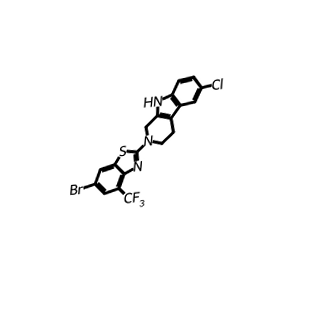 FC(F)(F)c1cc(Br)cc2sc(N3CCc4c([nH]c5ccc(Cl)cc45)C3)nc12